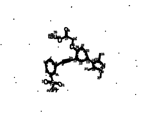 CCCS(=O)(=O)c1cccc(C#Cc2cc(-c3c(C)nn(C)c3C)ccc2OCC(=O)OC(C)(C)C)c1